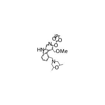 COCc1c(OC(=O)OC(C)C)ncc2[nH]c3cccc(CN4CC(C)OC(C)C4)c3c12